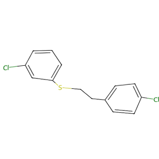 Clc1ccc(CCSc2cccc(Cl)c2)cc1